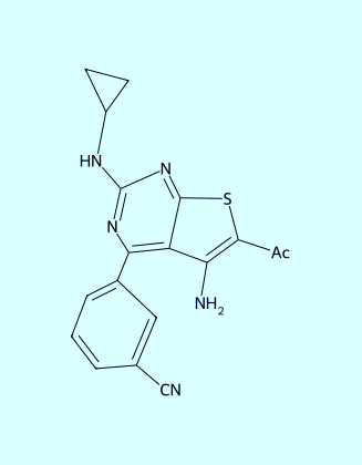 CC(=O)c1sc2nc(NC3CC3)nc(-c3cccc(C#N)c3)c2c1N